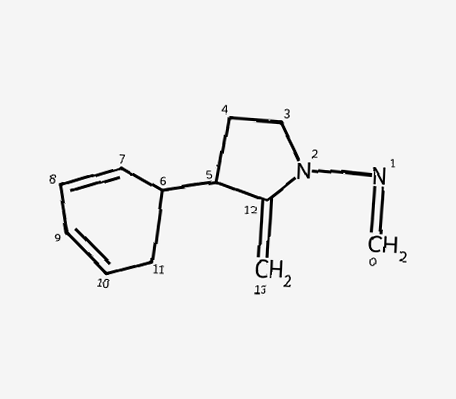 C=NN1CCC(C2C=CC=CC2)C1=C